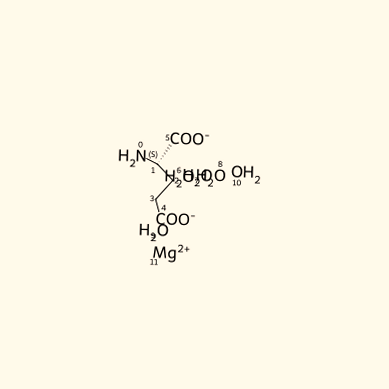 N[C@@H](CCC(=O)[O-])C(=O)[O-].O.O.O.O.O.[Mg+2]